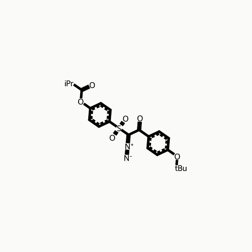 CC(C)C(=O)Oc1ccc(S(=O)(=O)C(=[N+]=[N-])C(=O)c2ccc(OC(C)(C)C)cc2)cc1